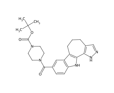 CC(C)(C)OC(=O)N1CCN(C(=O)c2ccc3[nH]c4c(c3c2)CCCc2cn[nH]c2-4)CC1